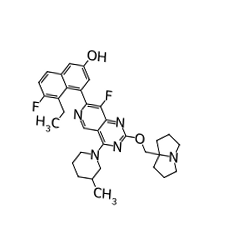 CCc1c(F)ccc2cc(O)cc(-c3ncc4c(N5CCCC(C)C5)nc(OCC56CCCN5CCC6)nc4c3F)c12